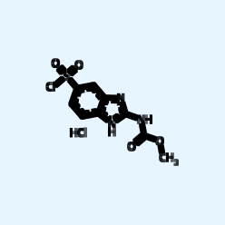 COC(=O)Nc1nc2cc(S(=O)(=O)Cl)ccc2[nH]1.Cl